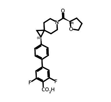 O=C(O)c1c(F)cc(-c2ccc([C@H]3CC34CCN(C(=O)[C@H]3CCCO3)CC4)cc2)cc1F